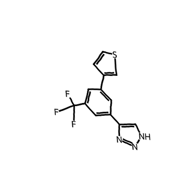 FC(F)(F)c1cc(-c2ccsc2)cc(-c2c[nH]nn2)c1